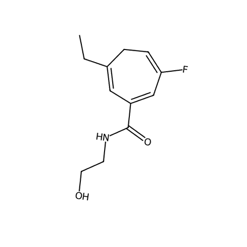 CCC1=CC(C(=O)NCCO)=CC(F)=CC1